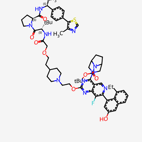 CCc1cccc2cc(O)cc(-c3ncc4c(N5CC6CCC(C5)N6C(=O)OC(C)(C)C)nc(OCCN5CCC(CCOCC(=O)N[C@H](C(=O)N6CCC[C@H]6C(=O)N[C@@H](C)c6ccc(-c7scnc7C)cc6)C(C)(C)C)CC5)nc4c3F)c12